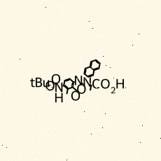 Cc1c(NC(=O)OC(C)(C)C)ccc2nc(N(c3ccc4ccccc4c3)[C@@H](C)C(=O)O)oc(=O)c12